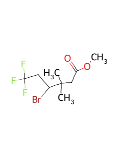 COC(=O)CC(C)(C)C(Br)CC(F)(F)F